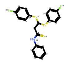 Fc1ccc(SC(CC(=S)Nc2ccccc2)Sc2ccc(F)cc2)cc1